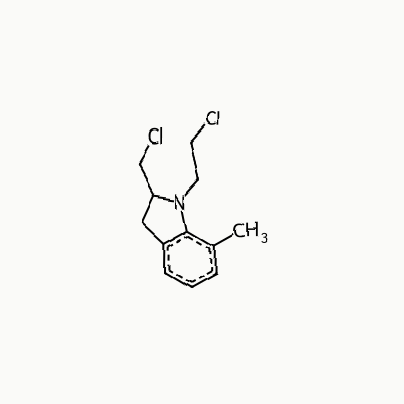 Cc1cccc2c1N(CCCl)C(CCl)C2